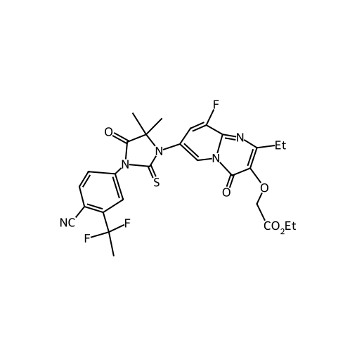 CCOC(=O)COc1c(CC)nc2c(F)cc(N3C(=S)N(c4ccc(C#N)c(C(C)(F)F)c4)C(=O)C3(C)C)cn2c1=O